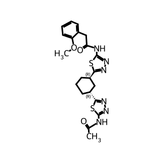 COc1ccccc1CC(=O)Nc1nnc([C@@H]2CCC[C@@H](c3nnc(NC(C)=O)s3)C2)s1